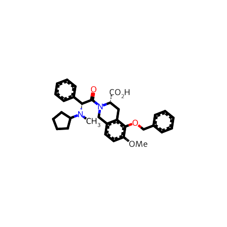 COc1ccc2c(c1OCc1ccccc1)C[C@@H](C(=O)O)N(C(=O)[C@@H](c1ccccc1)N(C)C1CCCC1)C2